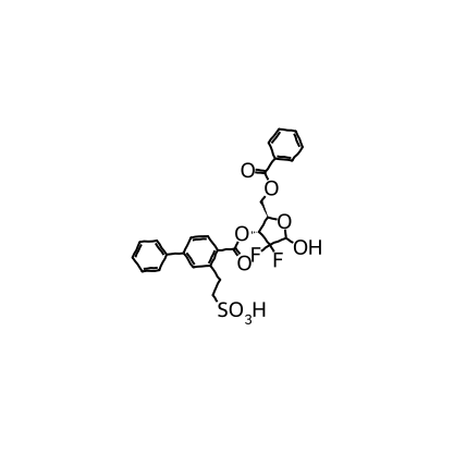 O=C(OC[C@H]1OC(O)C(F)(F)[C@@H]1OC(=O)c1ccc(-c2ccccc2)cc1CCS(=O)(=O)O)c1ccccc1